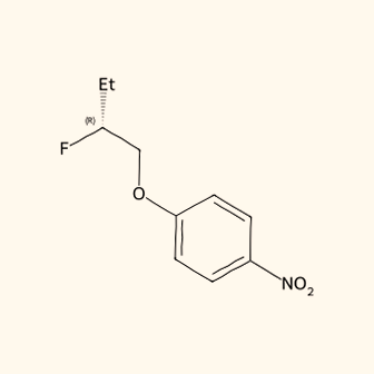 CC[C@@H](F)COc1ccc([N+](=O)[O-])cc1